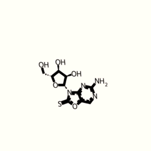 Nc1ncc2oc(=S)n([C@@H]3O[C@H](CO)[C@@H](O)[C@H]3O)c2n1